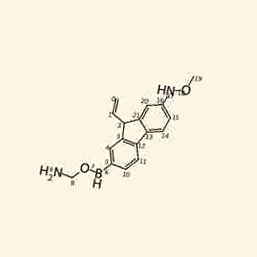 C=CC1c2cc(BOCN)ccc2-c2ccc(NOC)cc21